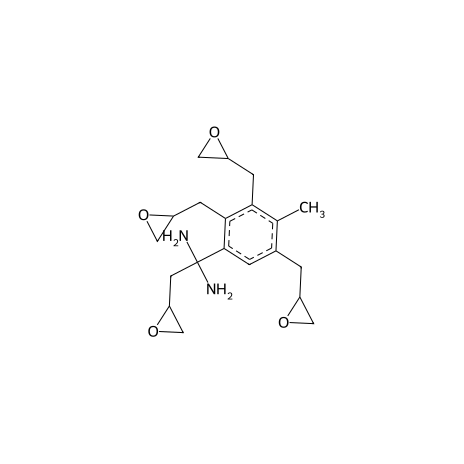 Cc1c(CC2CO2)cc(C(N)(N)CC2CO2)c(CC2CO2)c1CC1CO1